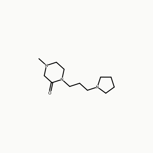 CN1CCN(CCCN2CCCC2)C(=O)C1